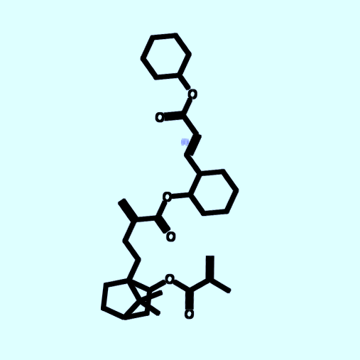 C=C(C)C(=O)OC1CC2CCC1(CCC(=C)C(=O)OC1CCCCC1/C=C/C(=O)OC1CCCCC1)C2(C)C